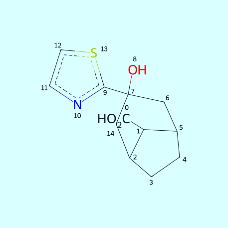 O=C(O)C1C2CCC1CC(O)(c1nccs1)C2